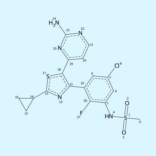 CS(=O)(=O)Nc1cc(Cl)cc(-c2nc(C3CC3)sc2-c2ccnc(N)n2)c1F